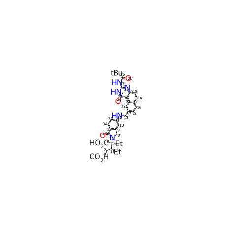 CCC(CC(=O)O)[C@](CC)(C(=O)O)N1Cc2cc(NCc3ccc4ccc5nc(NC(=O)C(C)(C)C)[nH]c(=O)c5c4c3)ccc2C1=O